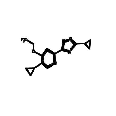 FC(F)(F)COc1cc(-c2noc(C3CC3)n2)ncc1C1CC1